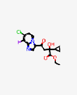 CCOC(=O)C(O)(CC(=O)c1cnc2c(I)c(Cl)ccn12)C1CC1